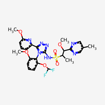 COc1cccc(-c2nnc(NS(=O)(=O)C(C)C(OC)c3ncc(C)cn3)n2-c2c(OC)cccc2OC(F)F)n1